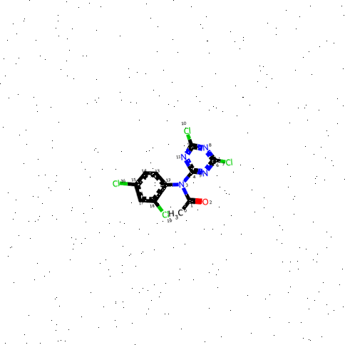 CC(=O)N(c1nc(Cl)nc(Cl)n1)c1ccc(Cl)cc1Cl